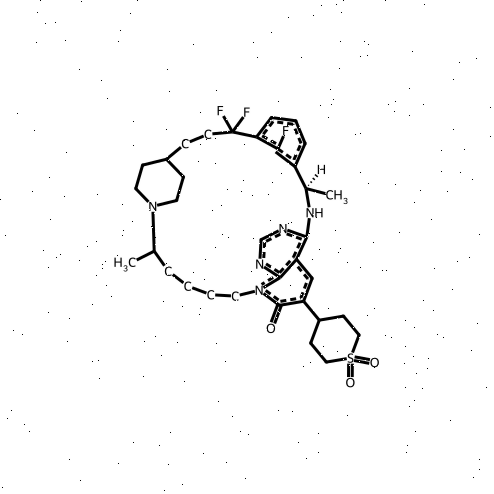 CC1CCCCn2c(=O)c(C3CCS(=O)(=O)CC3)cc3c(ncnc32)N[C@H](C)c2cccc(c2F)C(F)(F)CCC2CCN1CC2